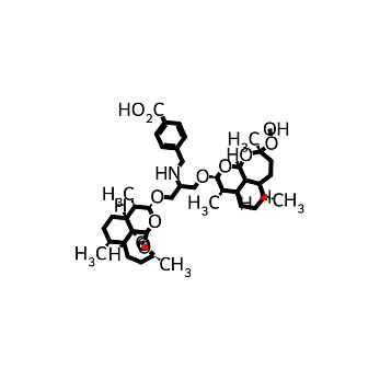 C[C@@H]1[C@H](OCC(CO[C@H]2O[C@@H]3O[C@](C)(OO)CC[C@@H]4C3[C@@H](CC[C@H]4C)[C@H]2C)NCc2ccc(C(=O)O)cc2)OC2O[C@]3(C)CC[C@@H]4[C@@H](C)CC[C@H]1[C@]24OO3